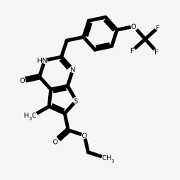 CCOC(=O)c1sc2nc(Cc3ccc(OC(F)(F)F)cc3)[nH]c(=O)c2c1C